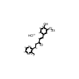 CCOc1cc(C=CC(=O)CCc2nccnc2C)ccc1O.Cl